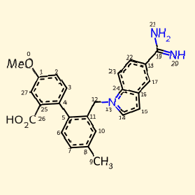 COc1ccc(-c2ccc(C)cc2Cn2ccc3cc(C(=N)N)ccc32)c(C(=O)O)c1